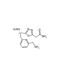 CC(=O)N[C@@H](Cc1cccc(CN)n1)c1nnc(CC(N)=O)o1